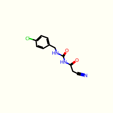 N#CCC(=O)NC(=O)NCc1ccc(Cl)cc1